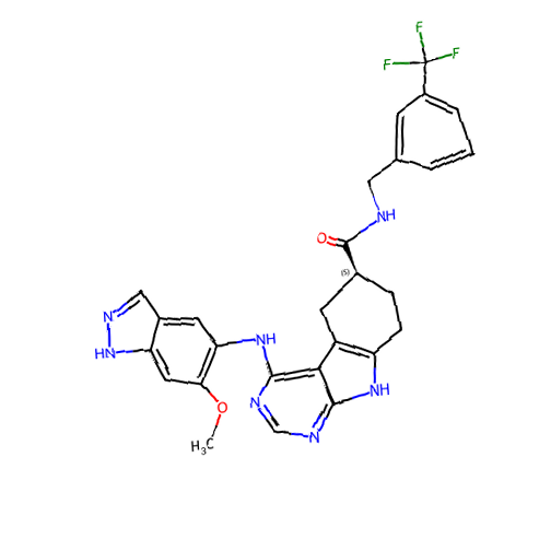 COc1cc2[nH]ncc2cc1Nc1ncnc2[nH]c3c(c12)C[C@@H](C(=O)NCc1cccc(C(F)(F)F)c1)CC3